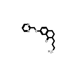 CCCCC1CCc2ccc(OCc3ncccn3)cc2C1=O